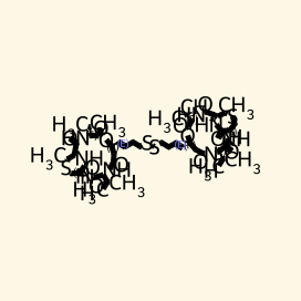 CC(C)C1NC(=O)C[C@H](/C=C/CCSSCC/C=C/[C@H]2CC(=O)N[C@H](C(C)C)C(=O)N[C@@H]3CSC(C)C(NC3=O)C(=O)N[C@@H](C(C)C)C(=O)O2)OC(=O)[C@H](C(C)C)NC(=O)C2NC(=O)[C@@H](CSC2C)NC1=O